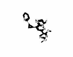 COc1ncc(-c2cc([C@H]3C[C@@H]3c3ccccn3)c3ncc(F)n3n2)c(OC)n1